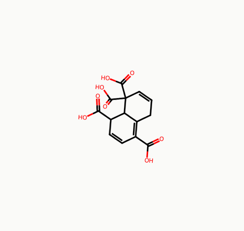 O=C(O)C1=C2CC=CC(C(=O)O)(C(=O)O)C2C(C(=O)O)C=C1